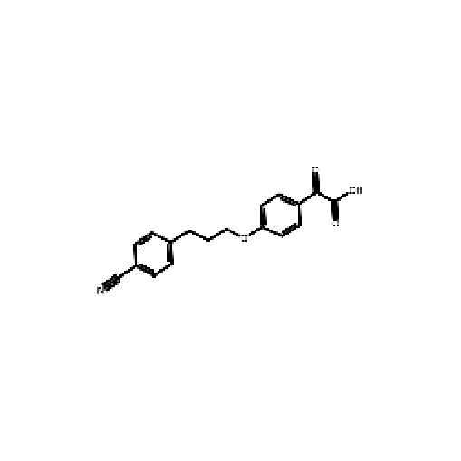 N#Cc1ccc(CCCOc2ccc(C(=O)C(=O)O)cc2)cc1